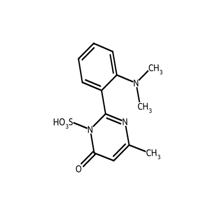 Cc1cc(=O)n(S(=O)(=O)O)c(-c2ccccc2N(C)C)n1